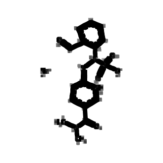 CN(C)C(=O)c1ccc(=NN(c2ccccc2C=O)S(=O)(=O)[O-])[nH]c1.[Na+]